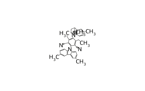 CCc1c(C#N)c(-n2c3ccc(C)cc3c3cc(C)ccc32)c(C#N)c(CC)c1N1c2ccc(C)cc2C2CC1[C@@H]2C